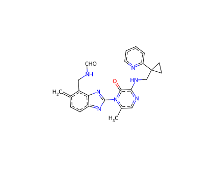 C=c1ccc2c(c1CNC=O)N=C(n1c(C)cnc(NCC3(c4ccccn4)CC3)c1=O)N=2